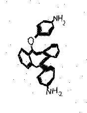 Nc1ccc(Oc2c3ccccc3c(-c3ccc(N)cc3)c3ccccc23)cc1